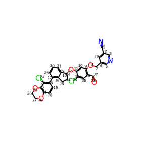 N#Cc1cncc(COc2cc(O[C@H]3CCc4c(-c5ccc6c(c5Cl)OCCO6)cccc43)c(Cl)cc2C=O)c1